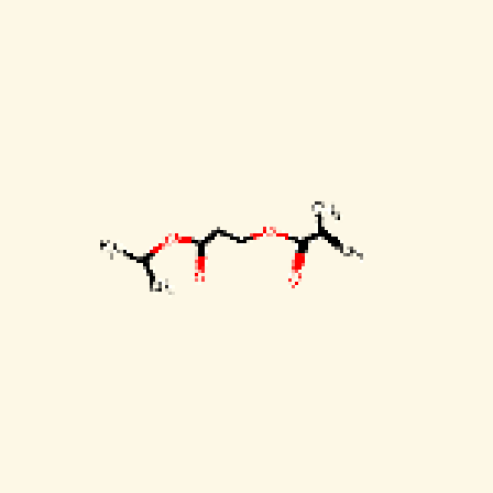 C=C(C)C(=O)OCCC(=O)OC(C)C